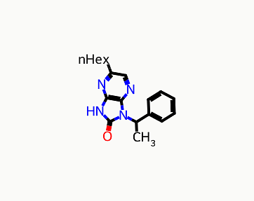 CCCCCCc1cnc2c(n1)[nH]c(=O)n2C(C)c1ccccc1